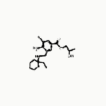 CCC1(NCc2cc(C(=O)OCC(C)O)cc(Br)c2N)CCCCC1